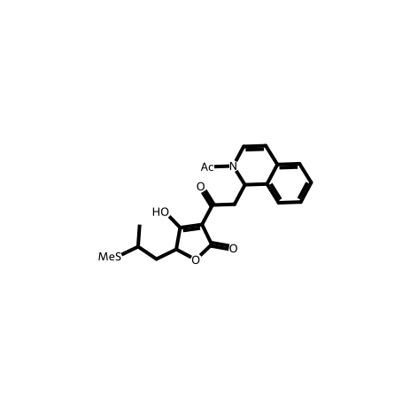 CSC(C)CC1OC(=O)C(C(=O)CC2c3ccccc3C=CN2C(C)=O)=C1O